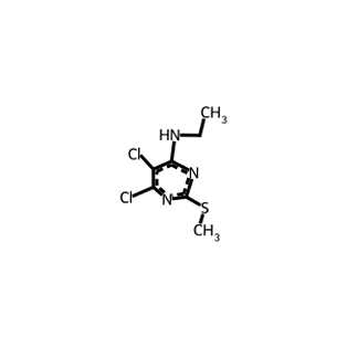 CCNc1nc(SC)nc(Cl)c1Cl